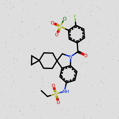 CCS(=O)(=O)Nc1ccc2c(c1)C1(CCC3(CC3)CC1)CN2C(=O)c1ccc(F)c(S(=O)(=O)Cl)c1